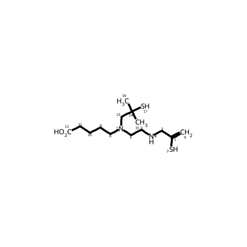 C=C(S)CNCCN(CCCCC(=O)O)CC(C)(C)S